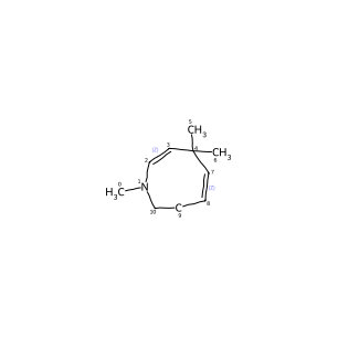 CN1/C=C\C(C)(C)/C=C\CC1